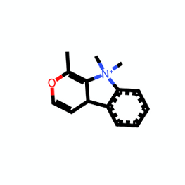 CC1=C2C(C=CO1)c1ccccc1[N+]2(C)C